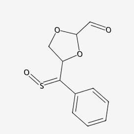 O=CC1OCC(C(=S=O)c2ccccc2)O1